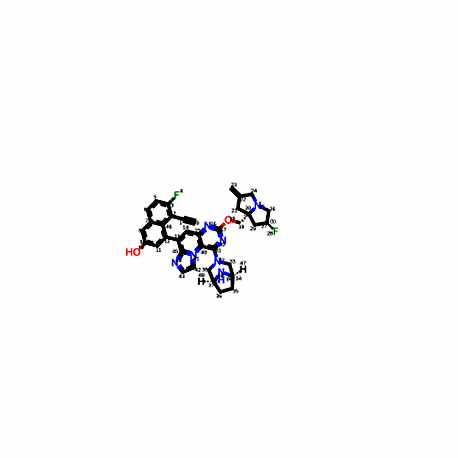 C#Cc1c(F)ccc2cc(O)cc(-c3cc4nc(OC[C@]56CC(=C)CN5C[C@@H](F)C6)nc(N5C[C@H]6CC[C@@H](C5)N6)c4n4ccnc34)c12